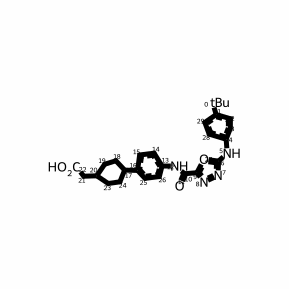 CC(C)(C)c1ccc(Nc2nnc(C(=O)Nc3ccc(C4CCC(CC(=O)O)CC4)cc3)o2)cc1